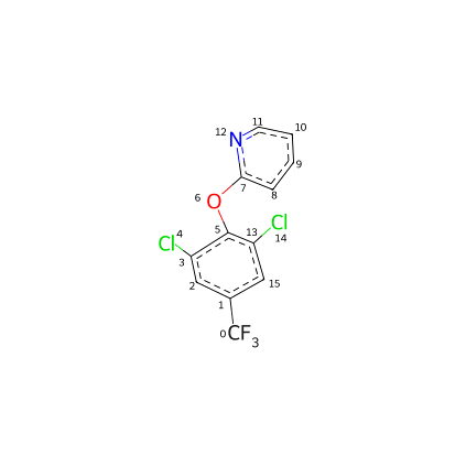 FC(F)(F)c1cc(Cl)c(Oc2ccccn2)c(Cl)c1